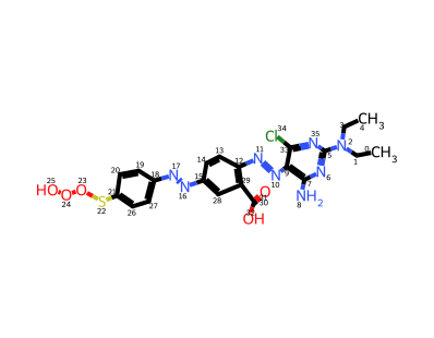 CCN(CC)c1nc(N)c(/N=N/c2ccc(/N=N/c3ccc(SOOO)cc3)cc2C(=O)O)c(Cl)n1